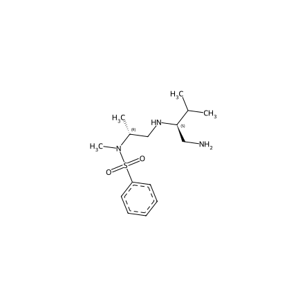 CC(C)[C@@H](CN)NC[C@@H](C)N(C)S(=O)(=O)c1ccccc1